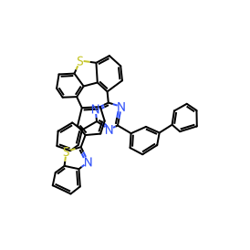 c1ccc(-c2cccc(-c3nc(-c4ccccc4)nc(-c4cccc5sc6cccc(-c7cccc(-c8nc9ccccc9s8)c7)c6c45)n3)c2)cc1